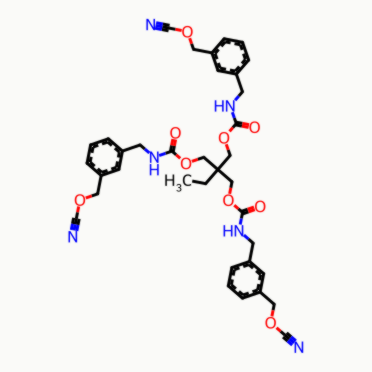 CCC(COC(=O)NCc1cccc(COC#N)c1)(COC(=O)NCc1cccc(COC#N)c1)COC(=O)NCc1cccc(COC#N)c1